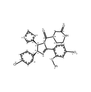 CC(C)Oc1cc([N+](=O)[O-])ccc1C1=N[C@@H](c2ccc(Cl)cc2)[C@@H](c2cscn2)N1C(=O)N1CCNC(=O)C1